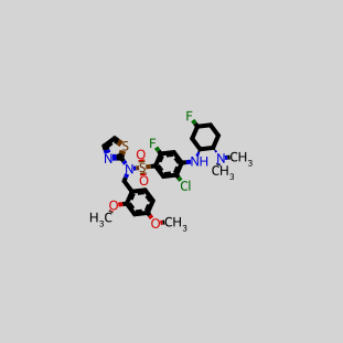 COc1ccc(CN(c2nccs2)S(=O)(=O)c2cc(Cl)c(N[C@H]3CC(F)CC[C@@H]3N(C)C)cc2F)c(OC)c1